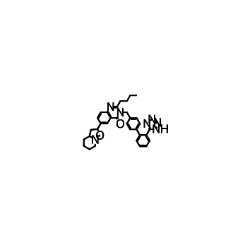 CCCCc1nc2ccc(C3CC4CCCCN4O3)cc2c(=O)n1Cc1ccc(-c2ccccc2-c2nnn[nH]2)cc1